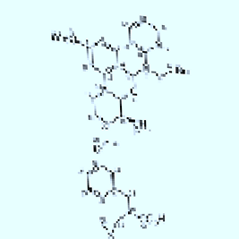 COc1ccc(C(=O)N(CC(C)(C)C)c2ccccn2)c(N2CCC(COc3cccc(CC(C(=O)O)C4CC4)c3)[C@H](C)C2)c1